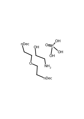 CCCCCCCCCCCCOCCCCCCCCCCCC.NCCO.O=P(O)(O)O